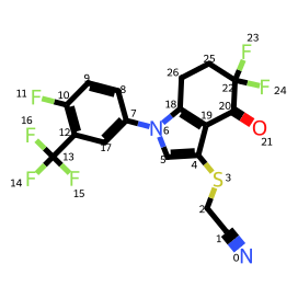 N#CCSc1cn(-c2ccc(F)c(C(F)(F)F)c2)c2c1C(=O)C(F)(F)CC2